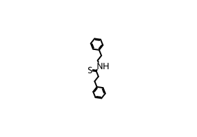 S=C(CCc1ccccc1)NCCc1ccccc1